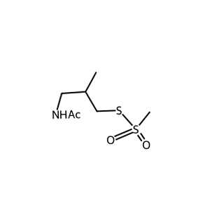 CC(=O)NCC(C)CSS(C)(=O)=O